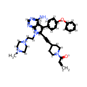 C=CC(=O)N1CCC(C#Cc2c(-c3ccc(Oc4ccccc4)cc3)c3c(N)ncnc3n2CCN2CCN(C)CC2)CC1